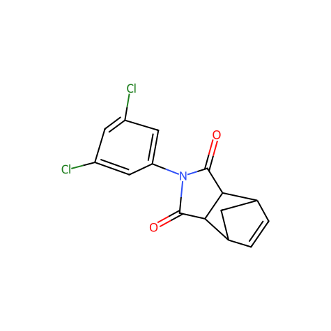 O=C1C2C3C=CC(C3)C2C(=O)N1c1cc(Cl)cc(Cl)c1